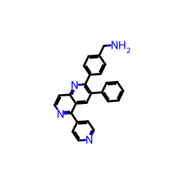 NCc1ccc(-c2nc3ccnc(-c4ccncc4)c3cc2-c2ccccc2)cc1